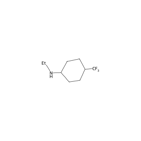 CCNC1CCC(C(F)(F)F)CC1